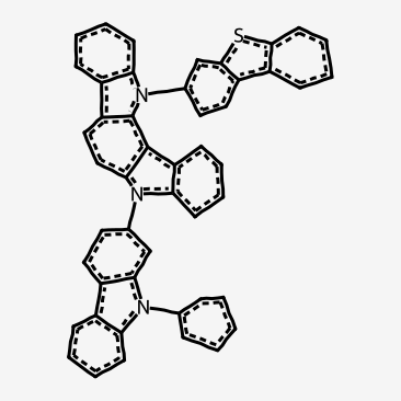 c1ccc(-n2c3ccccc3c3ccc(-n4c5ccccc5c5c4ccc4c6ccccc6n(-c6ccc7c(c6)sc6ccccc67)c45)cc32)cc1